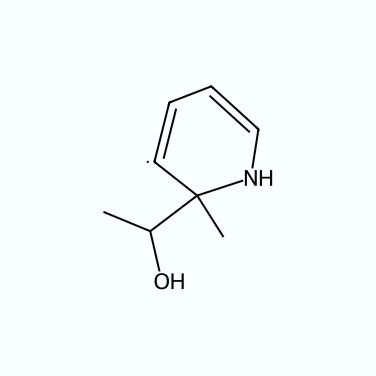 CC(O)C1(C)[C]=CC=CN1